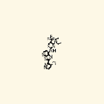 CCN(CC)c1nc(Nc2ccnc3nc(-c4nnccc4Cl)cnc23)ncc1C(F)(F)F